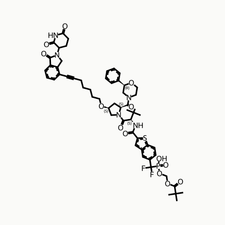 CC(C)(C)C(=O)OCOP(=O)(O)C(F)(F)c1ccc2sc(C(=O)N[C@H](C(=O)N3C[C@@H](OCCCCCC#Cc4cccc5c4CN(C4CCC(=O)NC4=O)C5=O)C[C@H]3C(=O)N3CCO[C@H](c4ccccc4)C3)C(C)(C)C)cc2c1